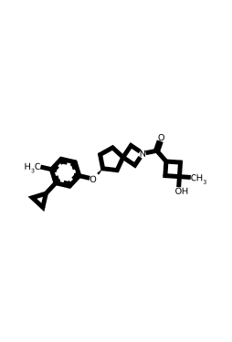 Cc1ccc(O[C@@H]2CCC3(C2)CN(C(=O)C2CC(C)(O)C2)C3)cc1C1CC1